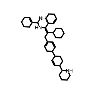 NC(N/C(=C(\CC1=CCC(C2C=CC(C3CCCCN3)CC2)C=C1)C1CCCCC1)C1C=CCCC1)C1=CCCCC1